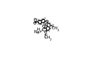 C=CCOc1cccc(OC(CCCC)Oc2ccc3cc(C(=O)[O-])ccc3c2)c1C(C)=O.[Na+]